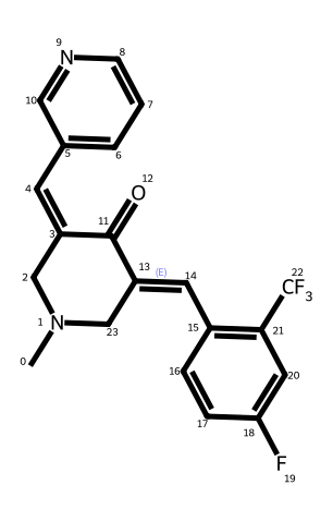 CN1CC(=Cc2cccnc2)C(=O)/C(=C/c2ccc(F)cc2C(F)(F)F)C1